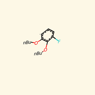 CCCCOc1[c]ccc(F)c1OCCCC